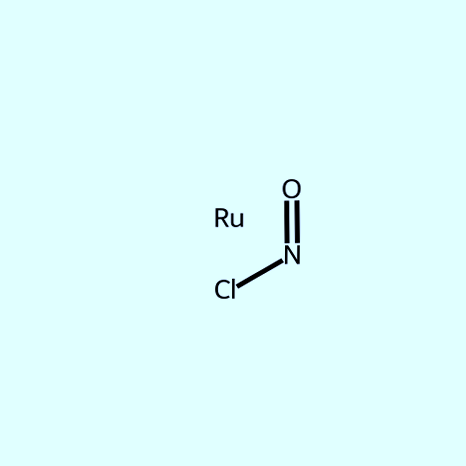 O=NCl.[Ru]